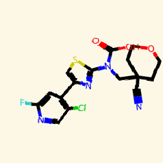 N#CC1(CN(C(=O)O)c2nc(-c3cc(F)ncc3Cl)cs2)CCOCC1